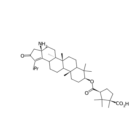 CC(C)C1=C2C3CCC4[C@@]5(C)CC[C@H](OC(=O)[C@H]6CC[C@@](C)(C(=O)O)C6(C)C)C(C)(C)C5CC[C@@]4(C)[C@]3(C)CC[C@@]2(N)CC1=O